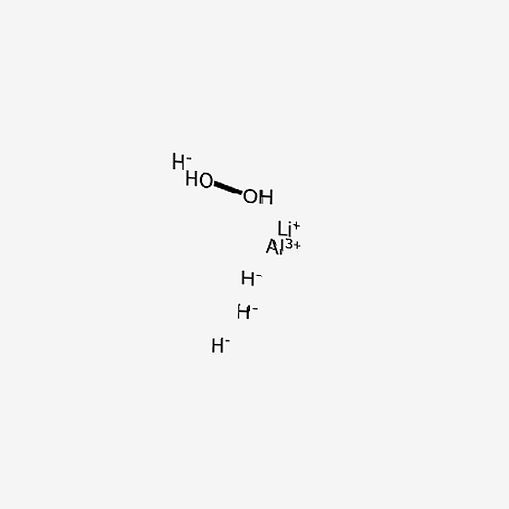 OO.[Al+3].[H-].[H-].[H-].[H-].[Li+]